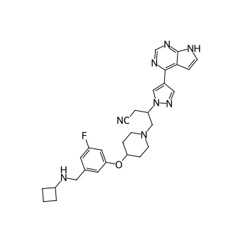 N#CCC(CN1CCC(Oc2cc(F)cc(CNC3CCC3)c2)CC1)n1cc(-c2ncnc3[nH]ccc23)cn1